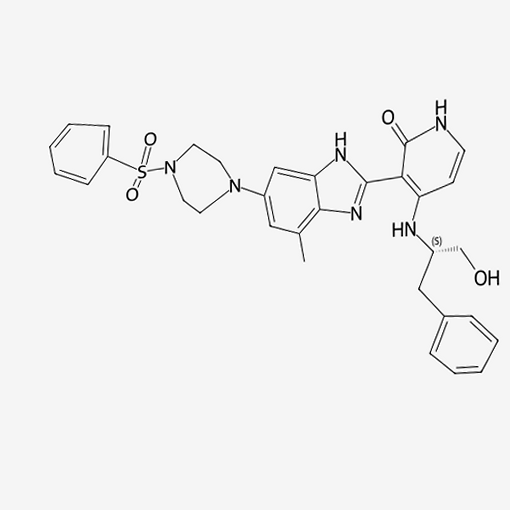 Cc1cc(N2CCN(S(=O)(=O)c3ccccc3)CC2)cc2[nH]c(-c3c(N[C@H](CO)Cc4ccccc4)cc[nH]c3=O)nc12